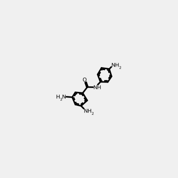 Nc1ccc(NC(=O)c2cc(N)cc(N)c2)cc1